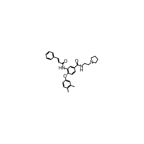 Cc1ccc(Oc2ccc(C(=O)NCCN3CCCC3)cc2NC(=O)C=Cc2ccccc2)cc1C